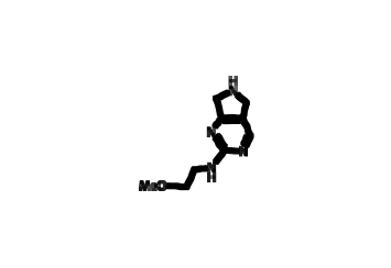 COCCNc1ncc2c(n1)CNC2